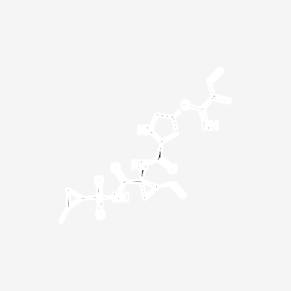 C=CC(=C)C(=N)O[C@H]1CN[C@H](C(=O)N[C@]2(C(=O)NS(=O)(=O)C3CC3C)C[C@H]2C=C)C1